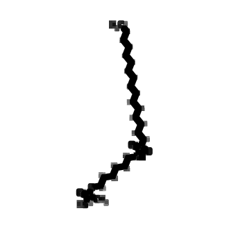 CCCCCCCCCCCCCCCCS(=O)(=O)NCCCCCCOP(C)(=O)S